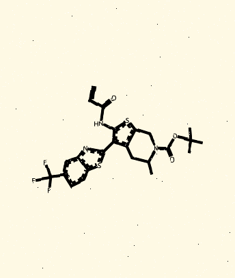 C=CC(=O)Nc1sc2c(c1-c1nc3cc(C(F)(F)F)ccc3s1)CC(C)N(C(=O)OC(C)(C)C)C2